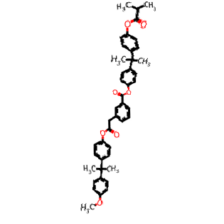 COc1ccc(C(C)(C)c2ccc(OC(=O)Cc3cccc(C(=O)Oc4ccc(C(C)(C)c5ccc(OC(=O)C(C)C)cc5)cc4)c3)cc2)cc1